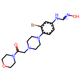 O=C(CN1CCN(c2ccc(N/C=N/O)cc2Br)CC1)N1CCOCC1